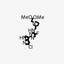 COC(CN1CCCC(CNc2nc(-c3c[nH]c4ncc(Cl)cc34)ncc2F)C1)OC